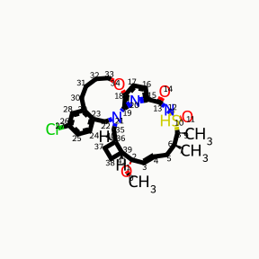 CO[C@H]1/C=C/C[C@H](C)[C@@H](C)/[SH](=O)=N\C(=O)c2ccc3c(n2)N(Cc2ccc(Cl)cc2CCCCO3)C[C@@H]2CC[C@H]21